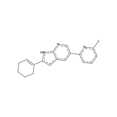 Ic1cccc(-c2cnc3[nH]c(C4=CCCCC4)cc3c2)n1